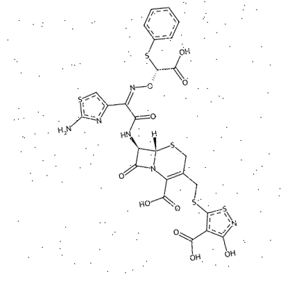 Nc1nc(/C(=N/O[C@H](Sc2ccccc2)C(=O)O)C(=O)N[C@@H]2C(=O)N3C(C(=O)O)=C(CSc4snc(O)c4C(=O)O)CS[C@@H]23)cs1